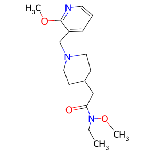 CCN(OC)C(=O)CC1CCN(Cc2cccnc2OC)CC1